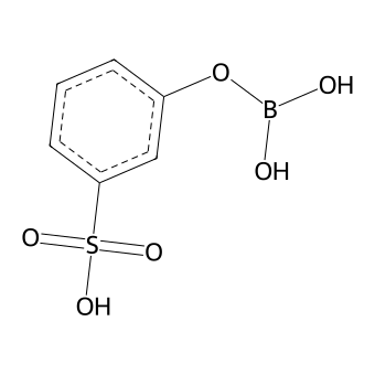 O=S(=O)(O)c1cccc(OB(O)O)c1